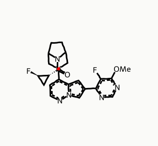 COc1ncnc(-c2cc3c(N4CC5CCC(C4)N5C(=O)[C@@H]4C[C@H]4F)ccnn3c2)c1F